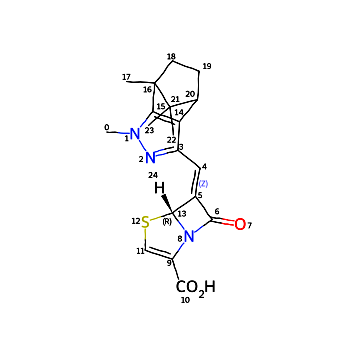 Cn1nc(/C=C2/C(=O)N3C(C(=O)O)=CS[C@H]23)c2c1C1(C)CCC2C1(C)C